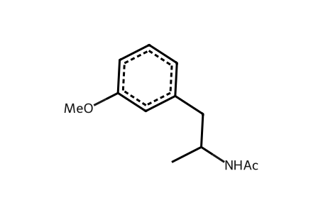 COc1cccc(CC(C)NC(C)=O)c1